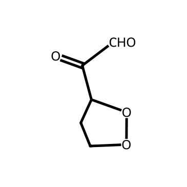 O=CC(=O)C1CCOO1